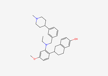 CCN(Cc1cccc(C2CCN(C)CC2)c1)c1cc(OC)ccc1C1CCc2cc(O)ccc2C1